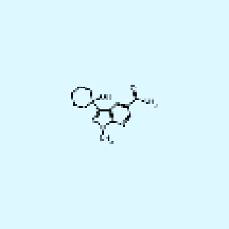 NC(=O)c1cnc2c(c1)c(C1(O)CCCCC1)nn2N